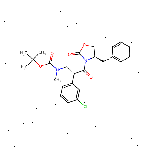 CN(C[C@H](C(=O)N1C(=O)OC[C@H]1Cc1ccccc1)c1cccc(Cl)c1)C(=O)OC(C)(C)C